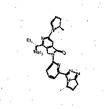 CC[C@@H](N)c1nc(N2CCC[C@H]2C)cc2c1CN(c1cccc(-c3nnc4n3[C@@H](C)CC4)n1)C2=O